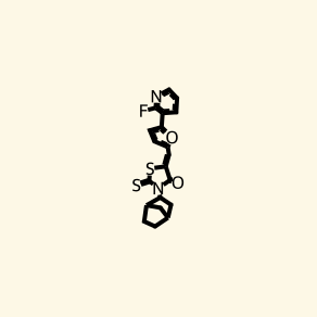 O=C1C(=Cc2ccc(-c3cccnc3F)o2)SC(=S)N1C1CC2CCC1C2